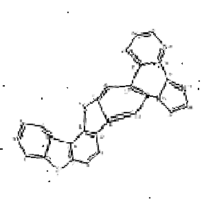 c1ccc2c(c1)sc1ccc3c4cc5c(cc4sc3c12)c1cccnc1c1nccn51